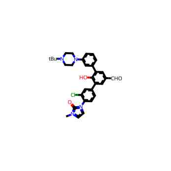 Cn1ccn(-c2ccc(-c3cc(C=O)cc(-c4cccc(N5CCN(C(C)(C)C)CC5)c4)c3O)cc2Cl)c1=O